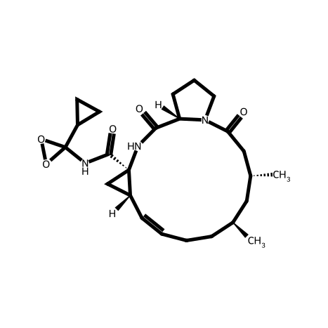 C[C@H]1CC/C=C\[C@@H]2C[C@@]2(C(=O)NC2(C3CC3)OO2)NC(=O)[C@@H]2CCCN2C(=O)C[C@H](C)C1